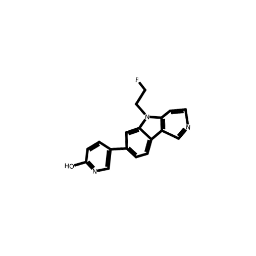 Oc1ccc(-c2ccc3c4cnccc4n(CCF)c3c2)cn1